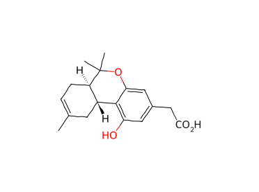 CC1=CC[C@@H]2[C@@H](C1)c1c(O)cc(CC(=O)O)cc1OC2(C)C